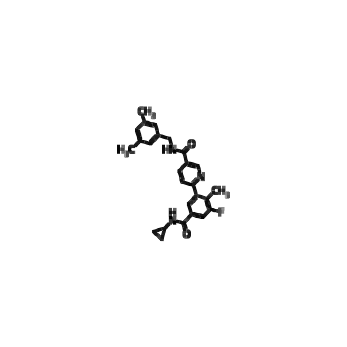 Cc1cc(C)cc(CNC(=O)c2ccc(-c3cc(C(=O)NC4CC4)cc(F)c3C)nc2)c1